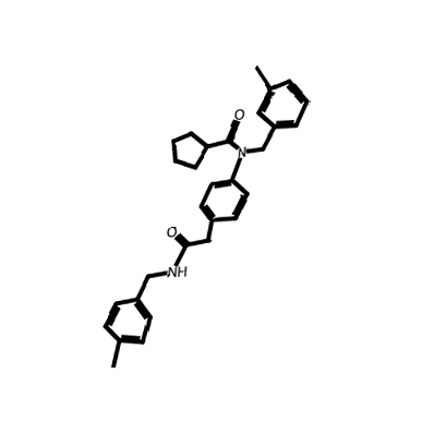 Cc1ccc(CNC(=O)Cc2ccc(N(Cc3cccc(C)c3)C(=O)C3CCCC3)cc2)cc1